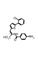 Nc1ccc(C(=O)N/C(=C\c2ccc(-c3ccccc3Cl)s2)C(=O)O)cc1